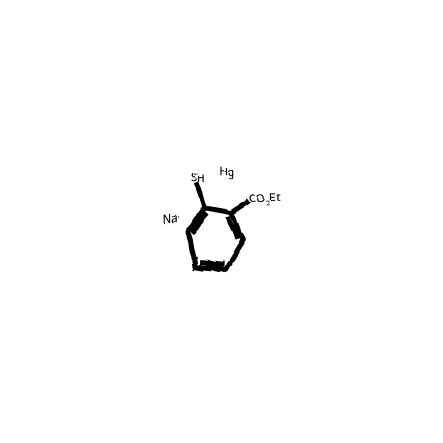 CCOC(=O)c1ccccc1S.[Hg].[Na]